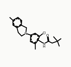 Cc1ccc2c(c1)CCN(c1cc(C)c(NC(=O)CC(C)(C)C)c(Cl)c1)C2